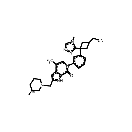 C[C@H]1CCCN(Cc2cc3c(C(F)(F)F)cn(-c4cccc(C5(c6nncn6C)CC(CC#N)C5)c4)c(=O)c3[nH]2)C1